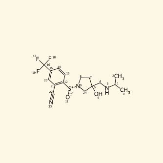 CC(C)NCC1(O)CCN([S+]([O-])c2ccc(C(F)(F)F)cc2C#N)C1